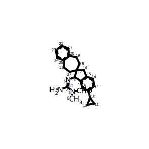 CN(C=O)/C(N)=N\C1c2cc(C3CC3)ccc2CC12CCc1ccccc1CC2